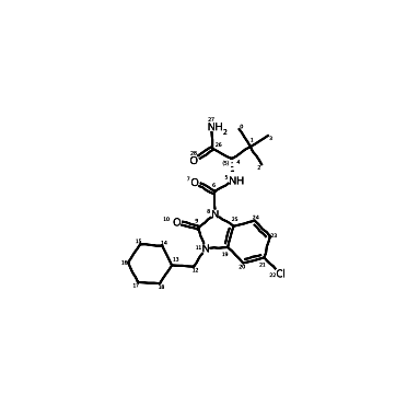 CC(C)(C)[C@H](NC(=O)n1c(=O)n(CC2CCCCC2)c2cc(Cl)ccc21)C(N)=O